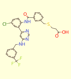 O=C(O)CCSCc1cccc(C(=O)Nc2ccc(Cl)cc2-c2cc(NCc3cccc(C(F)(F)F)c3)ncn2)c1